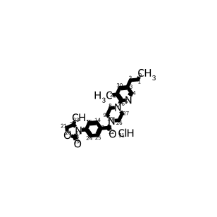 CCCc1cnc(N2CCN(C(=O)c3ccc(N4C(=O)OCC4C)cc3)CC2)c(C)c1.Cl